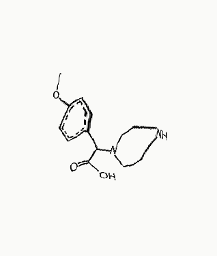 COc1ccc(C(C(=O)O)N2CCNCC2)cc1